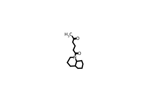 CC(=O)CCCC(=O)N1CCCC2CCCCC21